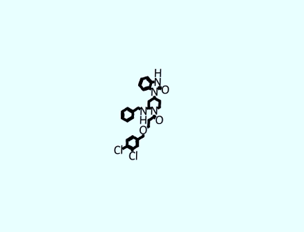 O=C(CCOCc1ccc(Cl)c(Cl)c1)N1CCC(n2c(=O)[nH]c3ccccc32)CC1NCc1ccccc1